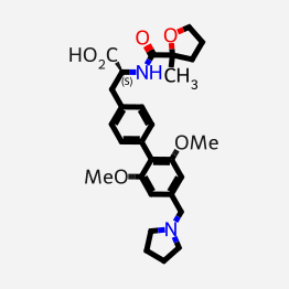 COc1cc(CN2CCCC2)cc(OC)c1-c1ccc(C[C@H](NC(=O)C2(C)CCCO2)C(=O)O)cc1